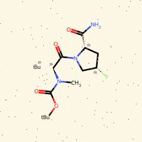 CC[C@H](C)[C@@H](C(=O)N1C[C@@H](F)C[C@H]1C(N)=O)N(C)C(=O)OC(C)(C)C